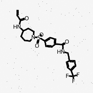 C=CC(=O)NC1CCCN(S(=O)(=O)c2ccc(C(=O)NCc3ccc(C(F)(F)F)cc3)cc2)CC1